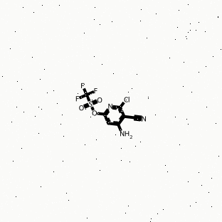 N#Cc1c(N)cc(OS(=O)(=O)C(F)(F)F)nc1Cl